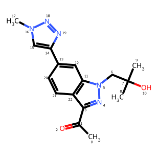 CC(=O)c1nn(CC(C)(C)O)c2cc(-c3cn(C)nn3)ccc12